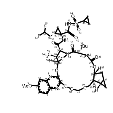 COc1ccc2nc3c(nc2c1)O[C@H]1CN(C(=O)[C@H](C(C)(C)C)NC(=O)O[C@@H]2CC4C[C@@H]4[C@H]2CCCCC3)[C@H](C(=O)N[C@]2(C(=O)NS(=O)(=O)C3CC3)C[C@H]2CC(F)F)[C@@H]1C